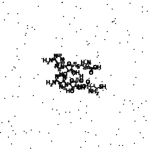 NC(CCS)C(=O)O.Nc1ncnc2c1ncn2[C@@H]1O[C@H](CO)[C@@H](O)[C@H]1O.Nc1ncnc2c1ncn2[C@@H]1O[C@H](CSCCC(N)C(=O)O)[C@@H](O)[C@H]1O